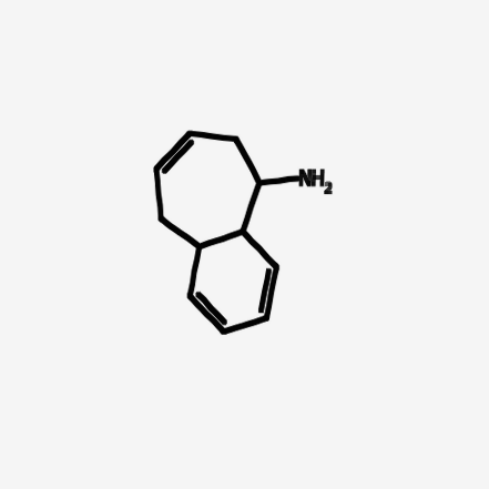 NC1CC=CCC2C=CC=CC12